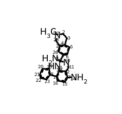 CN1CCc2ccc(C3(N)N=Cc4c(N)ccc(-c5ccccc5)c4N3)cc2C1